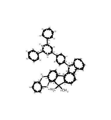 CC1(C)c2ccc3c4ccccc4n(-c4ccc(-c5cc(-c6ccccc6)nc(-c6ccccc6)n5)cc4)c3c2-c2ccc3c(c21)Sc1ccccc1S3